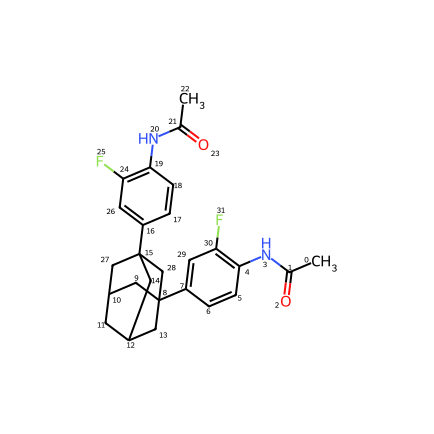 CC(=O)Nc1ccc(C23CC4CC(C2)CC(c2ccc(NC(C)=O)c(F)c2)(C4)C3)cc1F